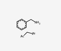 CC(=O)CC(C)C.NCc1ccccc1